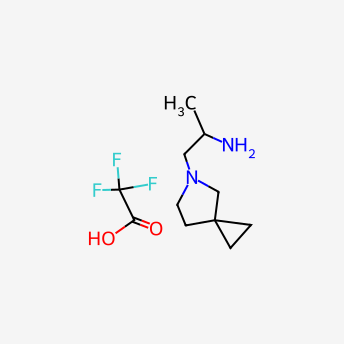 CC(N)CN1CCC2(CC2)C1.O=C(O)C(F)(F)F